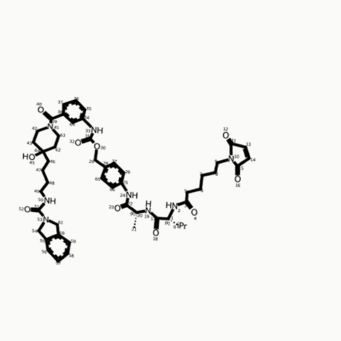 CC(C)[C@@H](NC(=O)CCCCCN1C(=O)C=CC1=O)C(=O)N[C@H](C)C(=O)Nc1ccc(COC(=O)Nc2cccc(C(=O)N3CCC(O)(CCCCNC(=O)N4Cc5ccccc5C4)CC3)c2)cc1